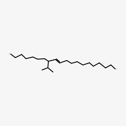 [CH2]CCCCCCCCC/C=C/C(CCCCCC[CH2])C(C)C